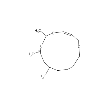 CC1C/C=C\CCCCCCC(C)CN(C)C1